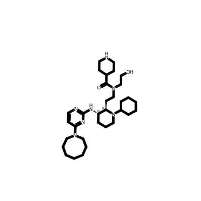 O=C(C1CCNCC1)N(CCO)CC[C@@H]1[C@@H](Nc2nccc(N3CCCCCCC3)n2)CCCN1C1CCCCC1